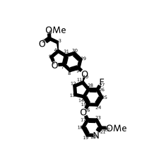 COC(=O)C[C@@H]1COc2cc(O[C@@H]3CCc4c(Oc5ccnc(OC)c5)ccc(F)c43)ccc21